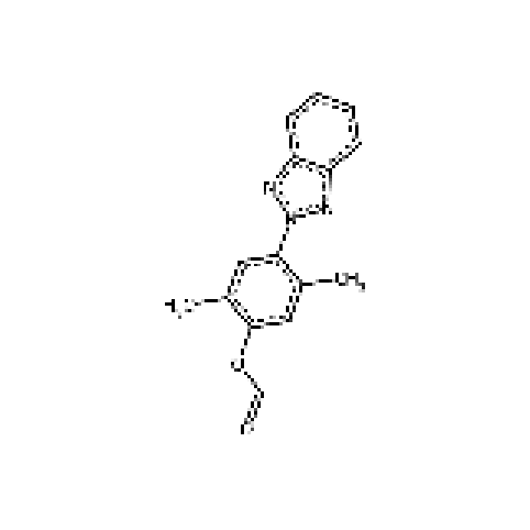 Cc1cc(-n2nc3ccccc3n2)c(C)cc1OC=O